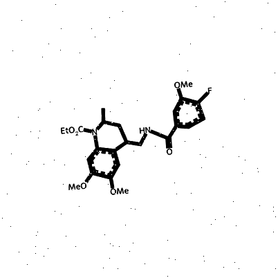 CCOC(=O)N1c2cc(OC)c(OC)cc2C(CNC(=O)c2ccc(F)c(OC)c2)CC1C